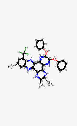 Cc1cc(C(F)(F)F)c2nc3c4nc(Oc5ccccc5)c(Oc5ccccc5)nc4c4nc(C)c(C)nc4c3nc2c1